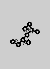 c1ccc(-c2cc(-c3ccccc3-c3cccnc3)nc(-c3ccc(-c4ccc(-c5cccc6c5oc5ccccc56)c5oc6ccccc6c45)cc3)n2)cc1